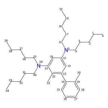 CCCCCN(CCCCC)c1cc(-c2ccccc2C)c(C)c(N(CCCCC)CCCCC)c1